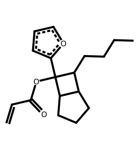 C=CC(=O)OC1(c2ccco2)C(CCCC)C2CCCC21